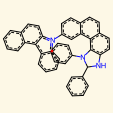 c1ccc(C2Nc3ccc4ccc5ccc(-n6c7ccccc7c7c8ccccc8ccc76)cc5c4c3N2c2ccccc2)cc1